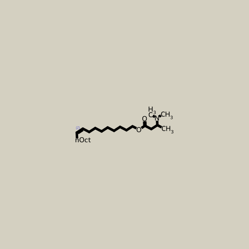 CCCCCCCC/C=C\CCCCCCCCOC(=O)CC(C)N(C)C